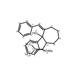 COc1ccccc1C1(O)/C(=C\c2ccccc2)CCCCC1CN(C)C